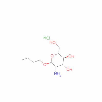 CCCCO[C@H]1O[C@H](CO)[C@@H](O)[C@H](O)[C@@H]1N.Cl